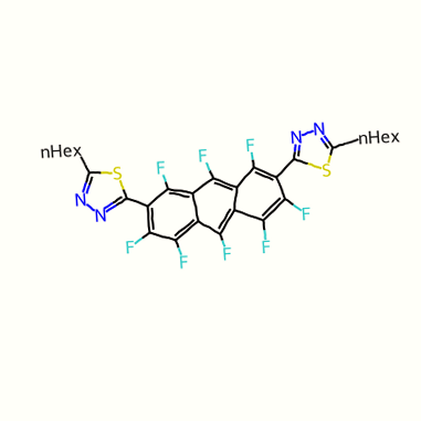 CCCCCCc1nnc(-c2c(F)c(F)c3c(F)c4c(F)c(F)c(-c5nnc(CCCCCC)s5)c(F)c4c(F)c3c2F)s1